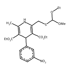 CCOC(=O)C1=C(C)NC(CSC(OC)OCC)=C(C(=O)OCC)C1c1cccc([N+](=O)[O-])c1